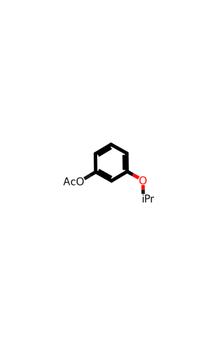 CC(=O)Oc1cccc(OC(C)C)c1